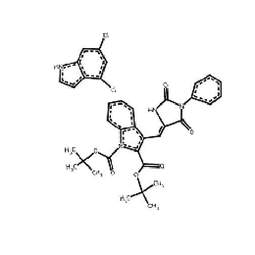 CC(C)(C)OC(=O)c1c(C=C2NC(=O)N(c3ccccc3)C2=O)c2ccccc2n1C(=O)OC(C)(C)C.Clc1cc(Cl)c2cc[nH]c2c1